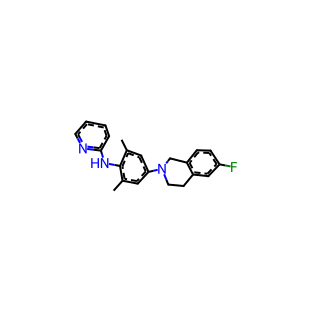 Cc1cc(N2CCc3cc(F)ccc3C2)cc(C)c1Nc1ccccn1